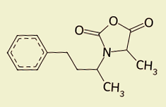 CC(CCc1ccccc1)N1C(=O)OC(=O)C1C